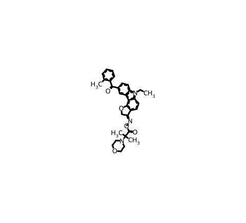 CCn1c2ccc(C(=O)c3ccccc3C)cc2c2c3c(ccc21)/C(=N/OC(=O)C(C)(C)N1CCOCC1)CO3